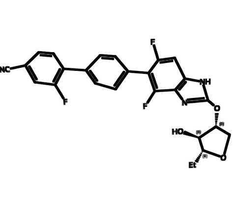 CC[C@H]1OC[C@@H](Oc2nc3c(F)c(-c4ccc(-c5ccc(C#N)cc5F)cc4)c(F)cc3[nH]2)[C@@H]1O